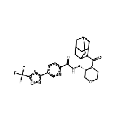 O=C(NC[C@H]1COCCN1C(=O)C1C2CC3CC(C2)CC1C3)c1ccc(-c2noc(C(F)(F)F)n2)cn1